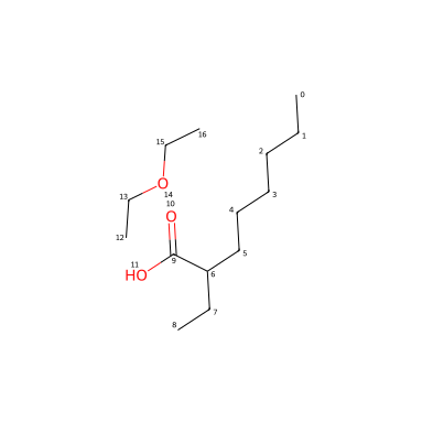 CCCCCCC(CC)C(=O)O.CCOCC